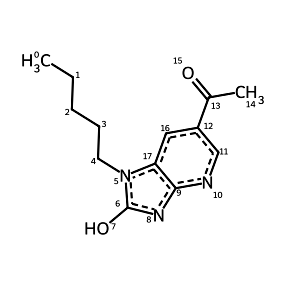 CCCCCn1c(O)nc2ncc(C(C)=O)cc21